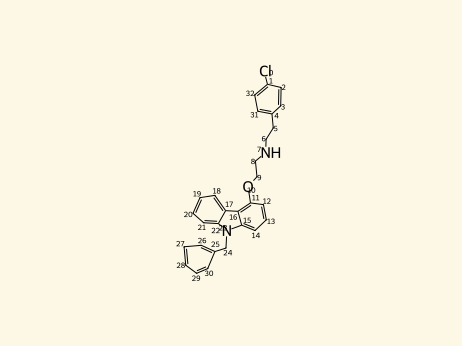 Clc1ccc(CCNCCOc2cccc3c2c2ccccc2n3Cc2ccccc2)cc1